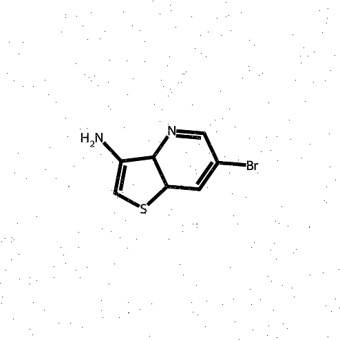 NC1=CSC2C=C(Br)C=NC12